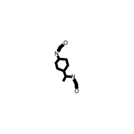 CC(N=C=O)C1CCC(N=C=O)CC1